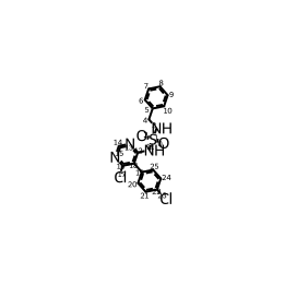 O=S(=O)(NCc1ccccc1)Nc1ncnc(Cl)c1-c1ccc(Cl)cc1